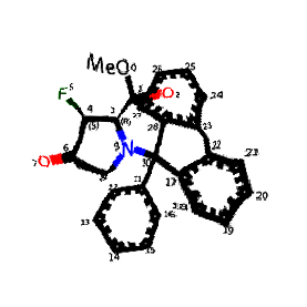 COC(=O)[C@@H]1[C@H](F)C(=O)CN1C1(c2ccccc2)c2ccccc2-c2ccccc21